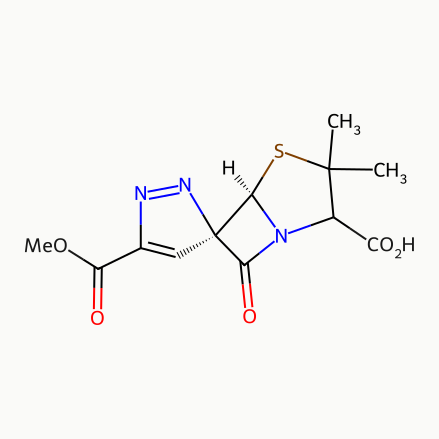 COC(=O)C1=C[C@@]2(N=N1)C(=O)N1C(C(=O)O)C(C)(C)S[C@@H]12